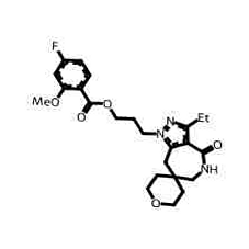 CCc1nn(CCCOC(=O)c2ccc(F)cc2OC)c2c1C(=O)NCC1(CCOCC1)C2